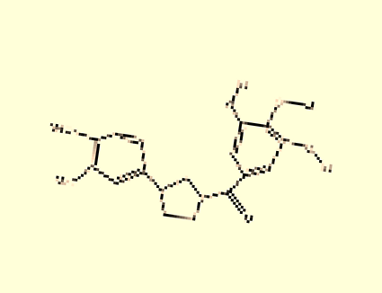 CCOc1cc(C(=O)N2CCC(c3ccc(OC)c(OC)c3)C2)cc(OCC)c1OCC